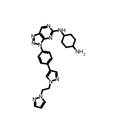 NC1CCC(Nc2ncc3nnn(-c4ccc(-c5cnn(CCn6cccn6)c5)cc4)c3n2)CC1